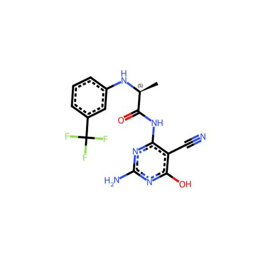 C[C@H](Nc1cccc(C(F)(F)F)c1)C(=O)Nc1nc(N)nc(O)c1C#N